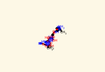 CCCCc1nc2c(N)nc3ccccc3c2n1Cc1ccc(CNC(=O)OCc2ccc(NC(=O)[C@@H](CC(=O)O)NC(=O)[C@H](CO)NC(=O)[C@@H](CCCNC(=N)N)NC(=O)CNC(=O)[C@@H](CO)NC(=O)[C@H](CC(C)C)NC(=O)CCCOCCN=[N+]=[N-])cc2)cc1